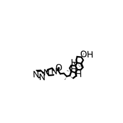 C[C@H](CCC(=O)N1CCN(c2ccncn2)CC1)[C@H]1CC[C@H]2[C@@H]3CC=C4C[C@@H](O)CC[C@]4(C)[C@H]3CC[C@]12C